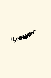 Cc1ccc(-c2cn3ccc(N4CCC(CCF)CC4)nc3n2)cc1